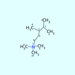 CC(C)C(C)CC[N+](C)(C)C